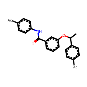 CC(=O)c1ccc(NC(=O)c2cccc(OC(C)c3ccc(C(C)=O)cc3)c2)cc1